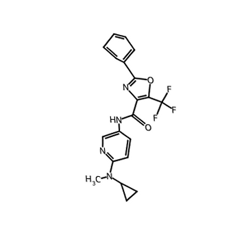 CN(c1ccc(NC(=O)c2nc(-c3ccccc3)oc2C(F)(F)F)cn1)C1CC1